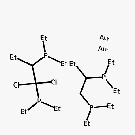 CCC(CP(CC)CC)P(CC)CC.CCC(P(CC)CC)C(Cl)(Cl)P(CC)CC.[Au].[Au]